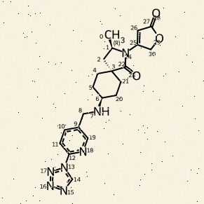 C[C@@H]1C[C@]2(CC[C@H](NCc3ccc(-n4cnnn4)nc3)CC2)C(=O)N1C1=CC(=O)OC1